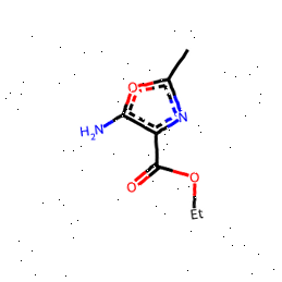 CCOC(=O)c1nc(C)oc1N